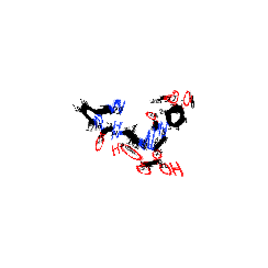 COc1ccc(N2CCN(CCNCC(=O)N3CCCC3C#N)C2=O)cc1OC.O=C(O)C(=O)O